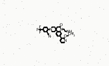 CCOc1ncccc1-c1ccc2c(c1)N(CCN)C(=O)CC21CCN(c2ccc(C(F)(F)F)cc2C#N)CC1